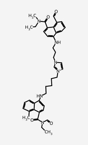 CCN(C)C(=O)c1ccc(NCCCn2cc[n+](CCCCCNc3ccc(C(=O)N(C=O)CC)c4c(C)cccc34)c2)c2cccc(C=O)c12